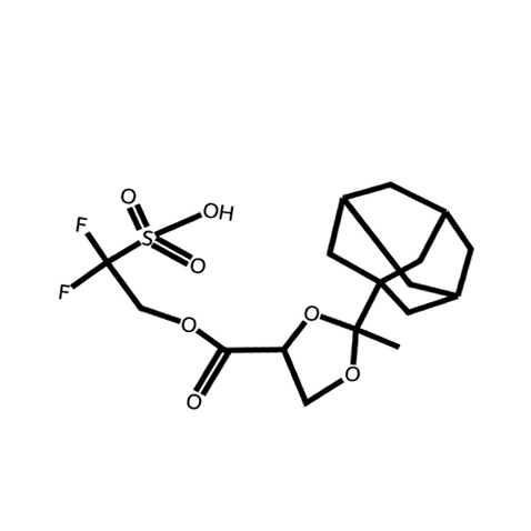 CC1(C23CC4CC(CC(C4)C2)C3)OCC(C(=O)OCC(F)(F)S(=O)(=O)O)O1